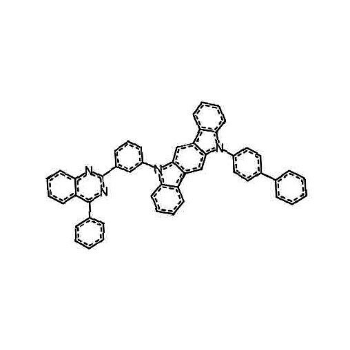 c1ccc(-c2ccc(-n3c4ccccc4c4cc5c(cc43)c3ccccc3n5-c3cccc(-c4nc(-c5ccccc5)c5ccccc5n4)c3)cc2)cc1